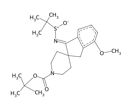 COc1cccc2c1CC1(CCN(C(=O)OC(C)(C)C)CC1)C2=N[S+]([O-])C(C)(C)C